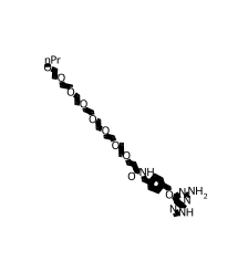 CCCOCCOCCOCCOCCOCCOCCOCCOCCC(=O)NCc1ccc(COc2nc(N)nc3[nH]cnc23)cc1